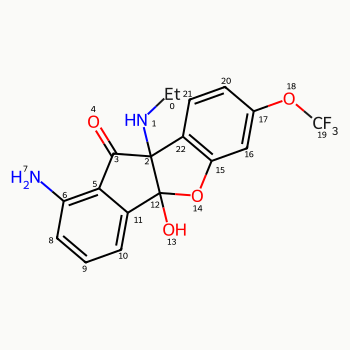 CCNC12C(=O)c3c(N)cccc3C1(O)Oc1cc(OC(F)(F)F)ccc12